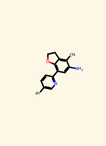 CC(C)c1ccc(-c2cc(N)c(C#N)c3c2OCC3)nc1